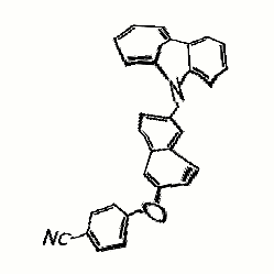 N#Cc1ccc(Oc2ccc3cc(-n4c5ccccc5c5ccccc54)ccc3c2)cc1